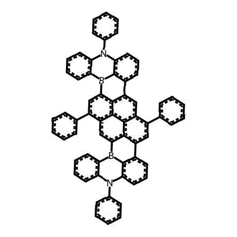 c1ccc(-c2cc3c4c(cc5c(-c6ccccc6)cc6c7c(cc2c4c57)B2c4ccccc4N(c4ccccc4)c4cccc-6c42)-c2cccc4c2B3c2ccccc2N4c2ccccc2)cc1